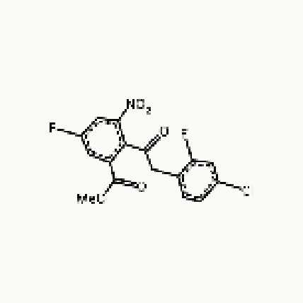 COC(=O)c1cc(F)cc([N+](=O)[O-])c1C(=O)Cc1ccc(Cl)cc1F